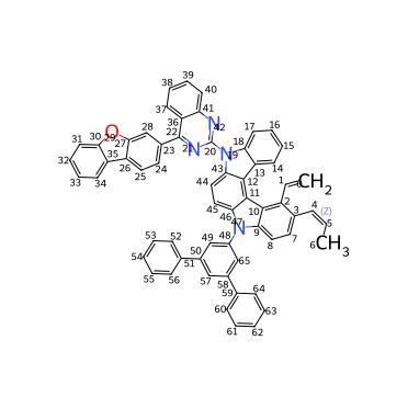 C=Cc1c(/C=C\C)ccc2c1c1c3c4ccccc4n(-c4nc(-c5ccc6c(c5)oc5ccccc56)c5ccccc5n4)c3ccc1n2-c1cc(-c2ccccc2)cc(-c2ccccc2)c1